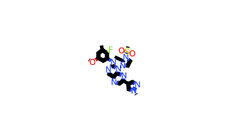 COc1cc(C)c(F)c(N(Cc2nccn2S(C)(=O)=O)c2ncc3ncc(-c4cnn(C)c4)nc3n2)c1